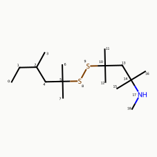 CCC(C)CC(C)(C)SSC(C)(C)CC(C)(C)NC